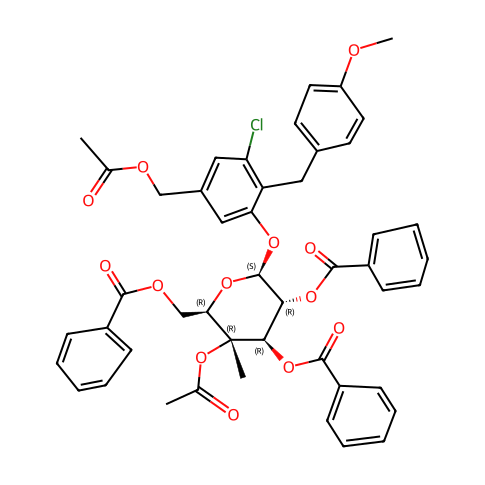 COc1ccc(Cc2c(Cl)cc(COC(C)=O)cc2O[C@@H]2O[C@H](COC(=O)c3ccccc3)[C@@](C)(OC(C)=O)[C@H](OC(=O)c3ccccc3)[C@H]2OC(=O)c2ccccc2)cc1